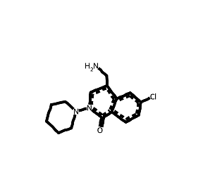 NCc1cn(N2CCCCC2)c(=O)c2ccc(Cl)cc12